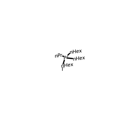 CCCCCC[P+](CCC)(CCCCCC)CCCCCC.[I-]